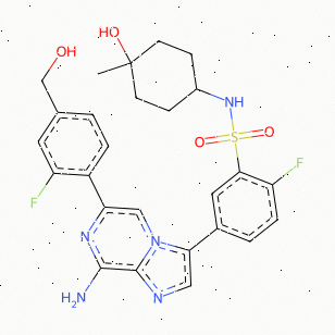 CC1(O)CCC(NS(=O)(=O)c2cc(-c3cnc4c(N)nc(-c5ccc(CO)cc5F)cn34)ccc2F)CC1